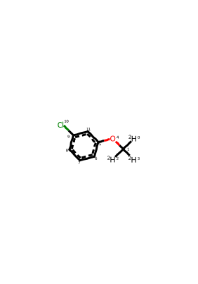 [2H]C([2H])([2H])Oc1cccc(Cl)c1